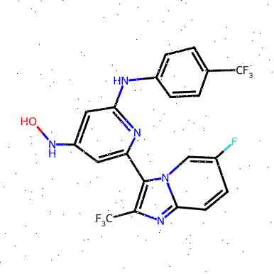 ONc1cc(Nc2ccc(C(F)(F)F)cc2)nc(-c2c(C(F)(F)F)nc3ccc(F)cn23)c1